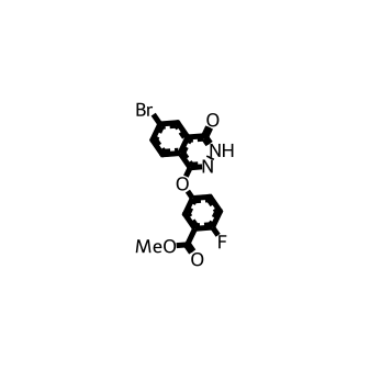 COC(=O)c1cc(Oc2n[nH]c(=O)c3cc(Br)ccc23)ccc1F